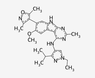 CCn1cc(Nc2nc(C)nc3[nH]c4cc(-c5c(C)noc5C)c(OC)cc4c23)c(C(C)C)n1